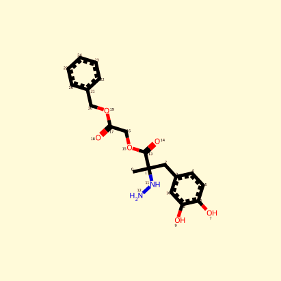 CC(Cc1ccc(O)c(O)c1)(NN)C(=O)OCC(=O)OCc1ccccc1